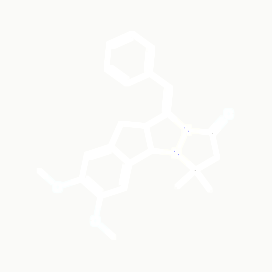 COc1cc2c(cc1OC)C1C(C2)/C(=C\c2ccccc2)N2C(=O)CC(C)(C)N12